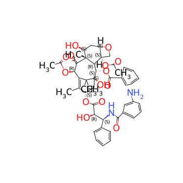 CC(=O)O[C@H]1C(=O)[C@@]2(C)[C@H]([C@H](OC(=O)c3ccccc3)[C@]3(O)C[C@H](OC(=O)[C@H](O)[C@@H](NC(=O)c4cccc(N)c4)c4ccccc4)C(C)=C1C3(C)C)[C@]1(OC(C)=O)CO[C@@H]1C[C@@H]2O